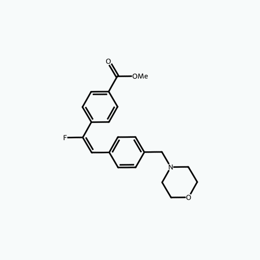 COC(=O)c1ccc(/C(F)=C\c2ccc(CN3CCOCC3)cc2)cc1